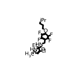 CCC1(C(=O)NCc2c(F)c(F)c(OCCCC(C)C)c(F)c2F)NN(C)C=C1Cl